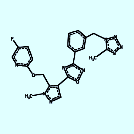 Cc1nnnn1Cc1cccc(-c2noc(-c3cnn(C)c3COc3ccc(F)cn3)n2)c1